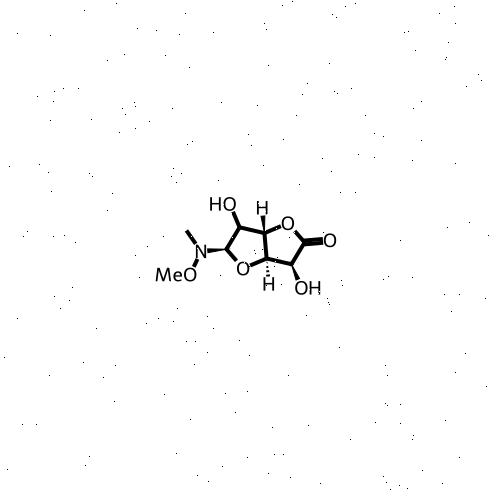 CON(C)[C@@H]1O[C@@H]2[C@H](O)C(=O)O[C@H]2C1O